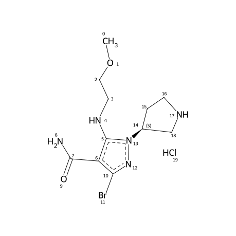 COCCNc1c(C(N)=O)c(Br)nn1[C@H]1CCNC1.Cl